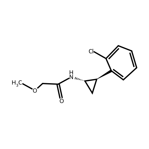 COCC(=O)N[C@H]1C[C@@H]1c1ccccc1Cl